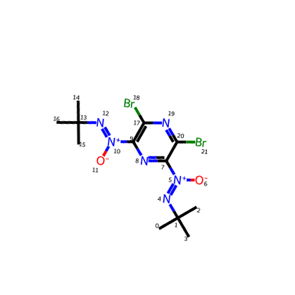 CC(C)(C)N=[N+]([O-])c1nc([N+]([O-])=NC(C)(C)C)c(Br)nc1Br